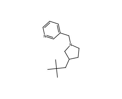 CC(C)(C)CC1CCN(Cc2cccnc2)C1